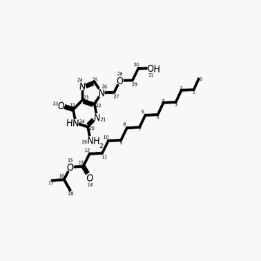 CCCCCCCCCCCCCC(=O)OC(C)C.Nc1nc2c(ncn2COCCO)c(=O)[nH]1